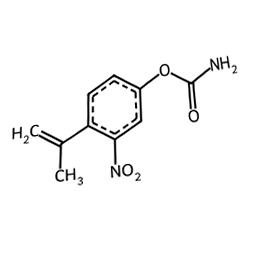 C=C(C)c1ccc(OC(N)=O)cc1[N+](=O)[O-]